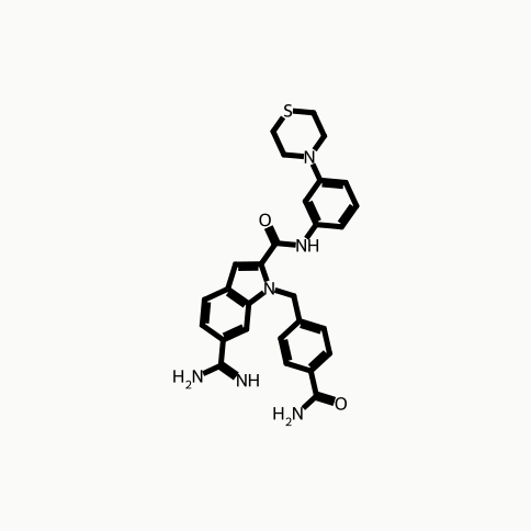 N=C(N)c1ccc2cc(C(=O)Nc3cccc(N4CCSCC4)c3)n(Cc3ccc(C(N)=O)cc3)c2c1